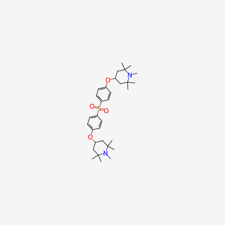 CN1C(C)(C)CC(Oc2ccc(S(=O)(=O)c3ccc(OC4CC(C)(C)N(C)C(C)(C)C4)cc3)cc2)CC1(C)C